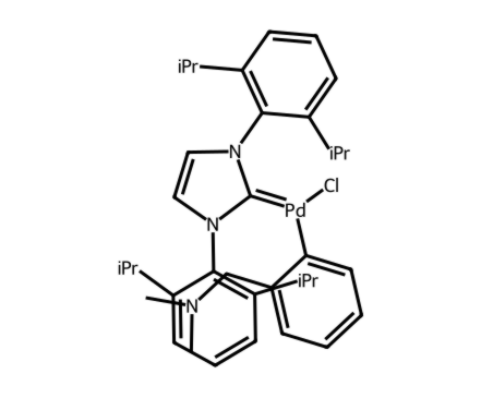 CC(C)c1cccc(C(C)C)c1-n1ccn(-c2c(C(C)C)cccc2C(C)C)[c]1=[Pd]([Cl])[c]1ccccc1CN(C)C